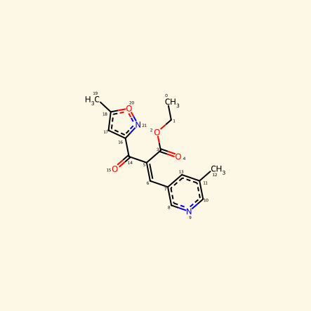 CCOC(=O)C(=Cc1cncc(C)c1)C(=O)c1cc(C)on1